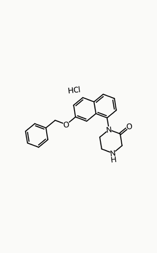 Cl.O=C1CNCCN1c1cccc2ccc(OCc3ccccc3)cc12